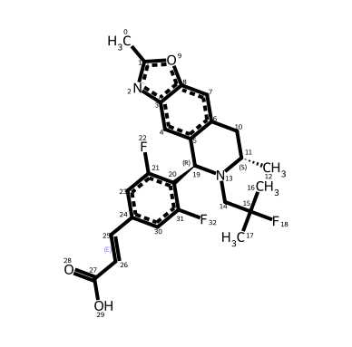 Cc1nc2cc3c(cc2o1)C[C@H](C)N(CC(C)(C)F)[C@H]3c1c(F)cc(/C=C/C(=O)O)cc1F